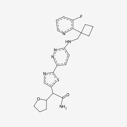 NC(=O)C(c1cnc(-c2ccc(NCC3(c4ncccc4F)CCC3)nn2)s1)C1CCCO1